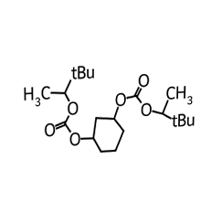 CC(OC(=O)OC1CCCC(OC(=O)OC(C)C(C)(C)C)C1)C(C)(C)C